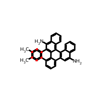 Cc1ccc(-c2cccc3c4cc(N)c5ccccc5c4c4c5ccccc5c(N)c(-c5ccc(C)cc5)c4c23)cc1